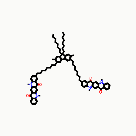 CCCCCCCCC1(CCCCCCCC)c2cc(C)c(CCCCCCCCc3ccc4c(c3)c(=O)c3cc5c(cc3n4C)c(=O)c3ccccc3n5C)cc2-c2cc(CCCCCCCCc3ccc4c(c3)c(=O)c3cc5c(cc3n4C)c(=O)c3ccccc3n5C)c(C)cc21